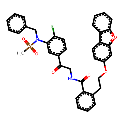 CS(=O)(=O)N(Cc1ccccc1)c1cc(C(=O)CNC(=O)c2ccccc2CCOc2ccc3c(c2)oc2ccccc23)ccc1Br